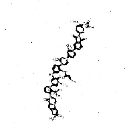 C=CC(=O)Nc1cc(Nc2nc(N3CCC[C@H](N4CCn5c(cc6c5CC(C)(C)C6)C4=O)[C@H]3[C@@H](C)O)cn(C)c2=O)ccc1N1CCN(C2CCN(c3ccc4c(c3)C(=O)N(C3CCC(C)(OP(=O)(O)O)CC3)C4=O)[C@H](C)C2)C[C@@H]1C